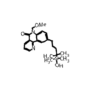 COCn1c(=O)c2cccnc2c2cc(CCCC(C)(C)[Si](C)(C)O)ccc21